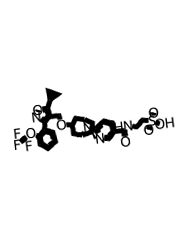 C[C@@H]1CC2CC(OCc3c(-c4ccccc4OC(F)(F)F)noc3C3CC3)CC1N2c1ccc(C(=O)NCCS(=O)(=O)O)cn1